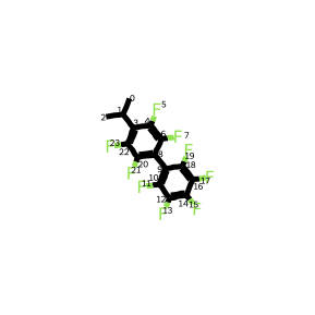 CC(C)c1c(F)c(F)c(-c2c(F)c(F)c(F)c(F)c2F)c(F)c1F